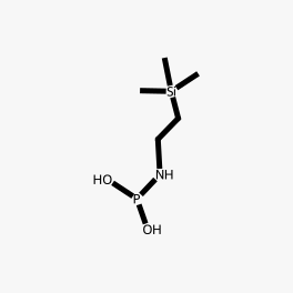 C[Si](C)(C)CCNP(O)O